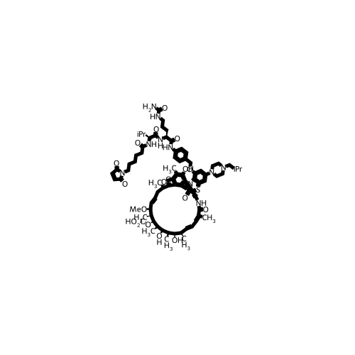 CO[C@H]1/C=C/C[C@@]2(C)Oc3c(C)c(O)c4c(=O)c(c5sc6cc(N7CCN(CC(C)C)CC7)cc(OCc7ccc(NC(=O)[C@H](CCCNC(N)=O)NC(=O)[C@@H](NC(=O)CCCCCN8C(=O)C=CC8=O)C(C)C)cc7)c6nc-5c4c3C2=O)NC(=O)/C(C)=C\C=C\[C@H](C)[C@H](O)[C@@H](C)[C@@H](O)[C@@H](C)[C@H](OC(=O)O)[C@@H]1C